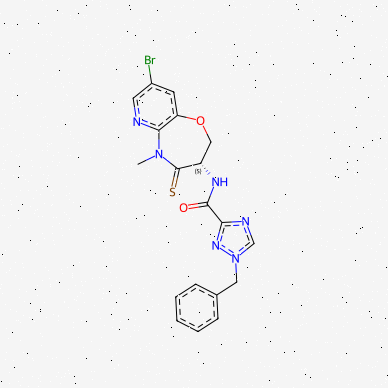 CN1C(=S)[C@@H](NC(=O)c2ncn(Cc3ccccc3)n2)COc2cc(Br)cnc21